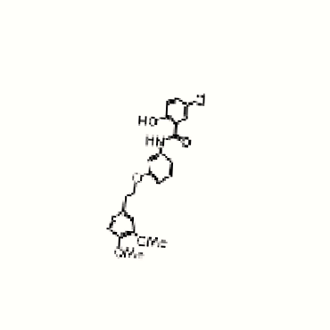 COc1ccc(CCOc2cccc(NC(=O)c3cc(Cl)ccc3O)c2)cc1OC